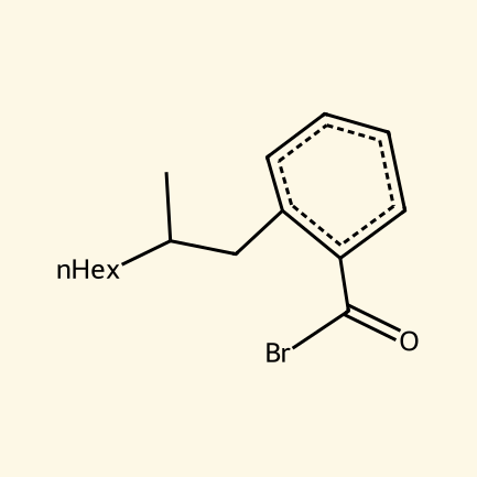 CCCCCCC(C)Cc1ccccc1C(=O)Br